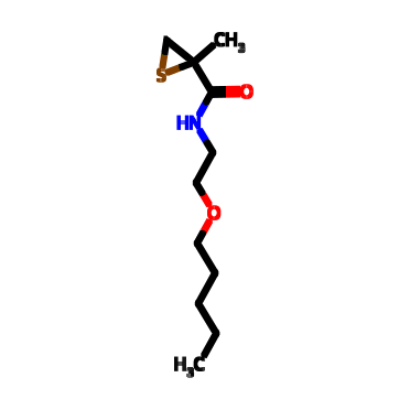 CCCCCOCCNC(=O)C1(C)CS1